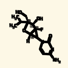 CC(C)[C@]1(CO)O[C@H]2C(n3ccc(N)nc3=O)[C@@]2(F)[C@@H]1O